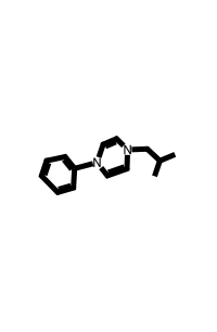 CC(C)CN1C=CN(c2ccccc2)C=C1